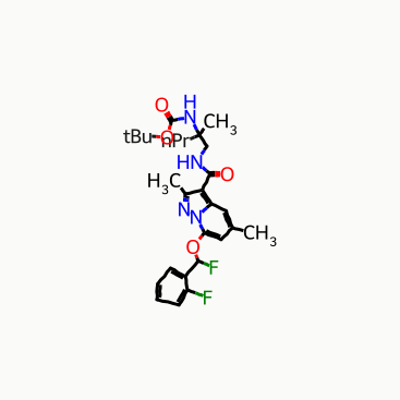 CCCC(C)(CNC(=O)c1c(C)nn2c(OC(F)c3ccccc3F)cc(C)cc12)NC(=O)OC(C)(C)C